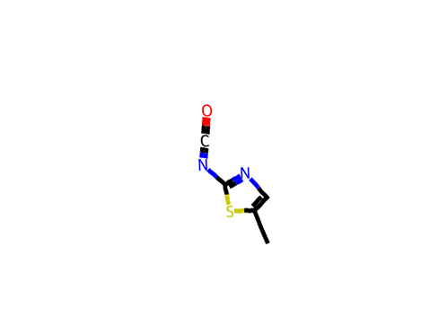 Cc1cnc(N=C=O)s1